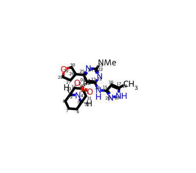 CCS(=O)(=O)N1[C@@H]2CCC[C@H]1C[C@H](c1c(Nc3cc(C)[nH]n3)nc(NC)nc1C1CCOC1)C2